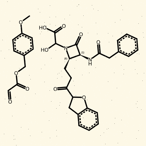 COc1ccc(COC(=O)C=O)cc1.O=C(Cc1ccccc1)N[C@@H]1C(=O)N(C(O)C(=O)O)[C@@H]1CCC(=O)C1Cc2ccccc2O1